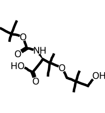 CC(C)(CO)COC(C)(C)[C@H](NC(=O)OC(C)(C)C)C(=O)O